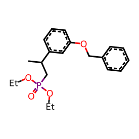 CCOP(=O)(CC(C)c1cccc(OCc2ccccc2)c1)OCC